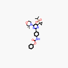 CC(C)S(=O)(=O)C1(c2cc(N3CCOC[C@@H]3C)nc(-c3ccc(NC(=O)Oc4ccccc4)cc3)n2)CC1